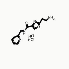 Cl.Cl.NCCc1nc(C(=O)NCc2ccccn2)co1